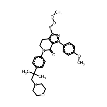 COOSc1nn(-c2ccc(OC)cc2)c2c1CCN(c1ccc(C(C)(C)CN3CCOCC3)cc1)C2=O